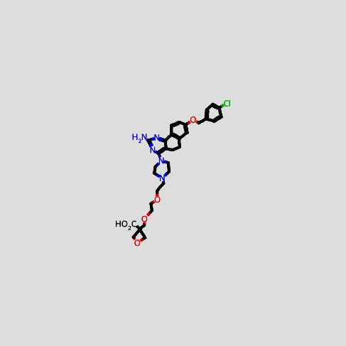 Nc1nc2c(c(N3CCN(CCOCCOCC4(C(=O)O)COC4)CC3)n1)CCc1cc(OCc3ccc(Cl)cc3)ccc1-2